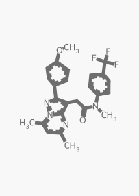 COc1ccc(-c2nn3c(C)cc(C)nc3c2CC(=O)N(C)c2ccc(C(F)(F)F)cc2)cc1